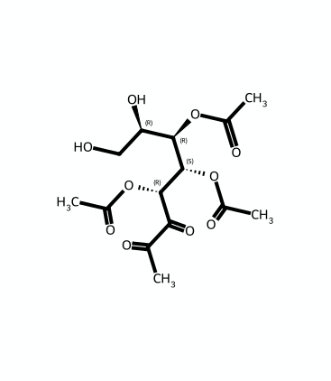 CC(=O)O[C@@H]([C@H](OC(C)=O)[C@@H](OC(C)=O)C(=O)C(C)=O)[C@H](O)CO